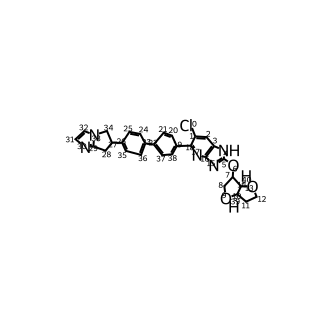 Clc1cc2[nH]c(OC3CO[C@@H]4CCO[C@H]34)nc2nc1-c1ccc(-c2ccc(C3Cc4nccn4C3)cc2)cc1